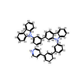 C1=C(c2ccncc2)C=C(c2cccc(-n3c4ccccc4c4ccc(-c5cccc(-n6c7ccccc7c7ccccc76)c5)cc43)c2)CC1